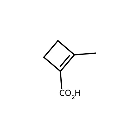 CC1=C(C(=O)O)CC1